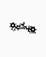 COCC(C)(CCOC(=O)OCCC(C)(COC)c1ccccc1)c1ccccc1